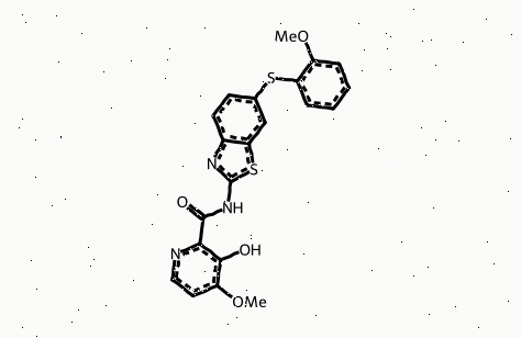 COc1ccccc1Sc1ccc2nc(NC(=O)c3nccc(OC)c3O)sc2c1